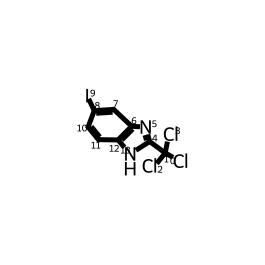 ClC(Cl)(Cl)c1nc2cc(I)ccc2[nH]1